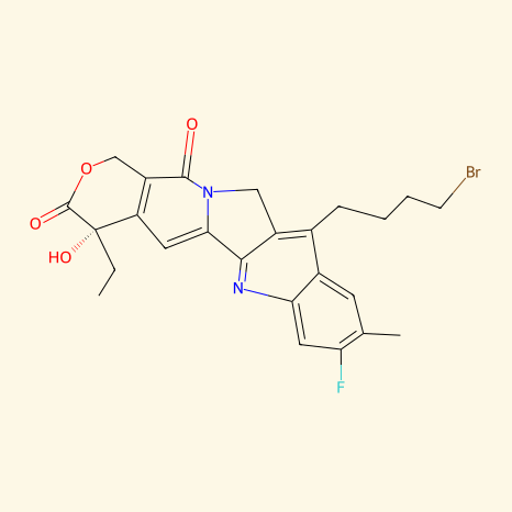 CC[C@@]1(O)C(=O)OCc2c1cc1n(c2=O)Cc2c-1nc1cc(F)c(C)cc1c2CCCCBr